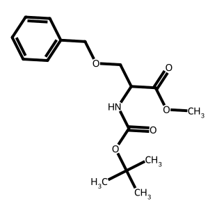 COC(=O)C(COCc1ccccc1)NC(=O)OC(C)(C)C